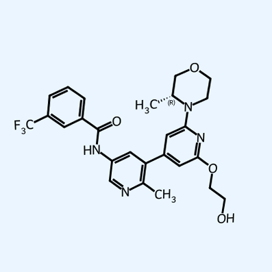 Cc1ncc(NC(=O)c2cccc(C(F)(F)F)c2)cc1-c1cc(OCCO)nc(N2CCOC[C@H]2C)c1